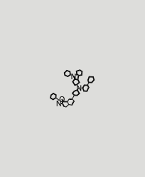 C1=CC2CC=c3nc(-c4ccccc4)oc3=C2C=C1c1ccc(N(c2cccc(-c3ccccc3)c2)c2ccc3c(c2)c2ccccc2n3-c2ccccc2)cc1